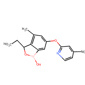 [C-]#[N+]c1ccnc(Oc2cc(C)c3c(c2)B(O)OC3CC(=O)O)c1